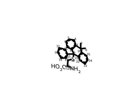 CC1(C)c2ccccc2C(SC[C@H](N)C(=O)O)(c2ccccc2)c2ccccc21